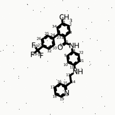 Cc1ccc(C(=O)Nc2ccc(NCCc3ccccn3)cc2)c(-c2ccc(C(F)(F)F)cc2)c1